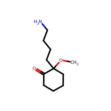 COC1(CCCCN)CCCCC1=O